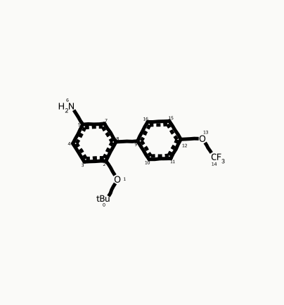 CC(C)(C)Oc1ccc(N)cc1-c1ccc(OC(F)(F)F)cc1